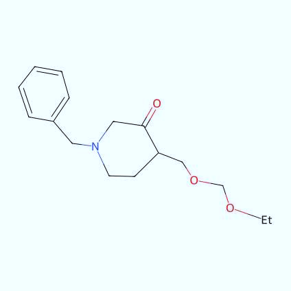 CCOCOCC1CCN(Cc2ccccc2)CC1=O